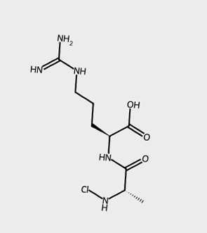 C[C@H](NCl)C(=O)N[C@@H](CCCNC(=N)N)C(=O)O